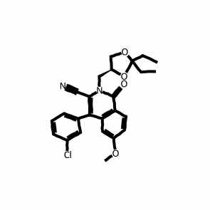 CCC1(CC)OC[C@H](Cn2c(C#N)c(-c3cccc(Cl)c3)c3cc(OC)ccc3c2=O)O1